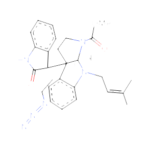 COC(=O)N1CCC2([C@@]3(CCN=[N+]=[N-])C(=O)Nc4ccccc43)c3ccccc3N(CC=C(C)C)[C@H]12